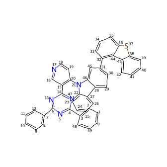 c1ccc(-c2nc(-c3ccccc3)nc(-c3cnccc3-n3c4ccccc4c4ccc(-c5cccc6sc7ccccc7c56)cc43)n2)cc1